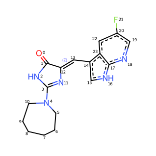 O=C1NC(N2CCCCCC2)=N/C1=C\c1c[nH]c2ncc(F)cc12